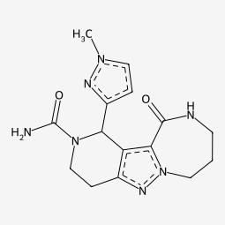 Cn1ccc(C2c3c(nn4c3C(=O)NCCC4)CCN2C(N)=O)n1